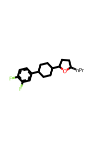 CCCC1CCC(C2CCC(c3ccc(F)c(F)c3)CC2)O1